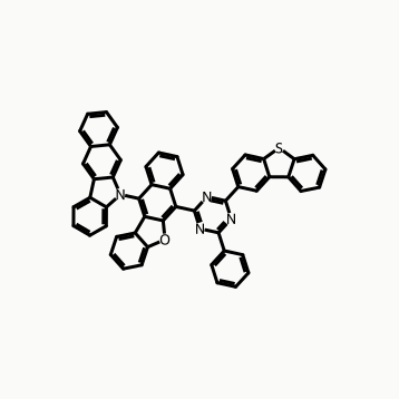 c1ccc(-c2nc(-c3ccc4sc5ccccc5c4c3)nc(-c3c4ccccc4c(-n4c5ccccc5c5cc6ccccc6cc54)c4c3oc3ccccc34)n2)cc1